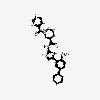 COc1ccc(C2CCCCC2)cc1-c1csc(NC(=O)C2CCCN(C(=O)c3ccncn3)C2)n1